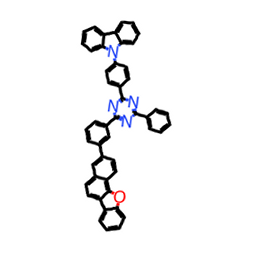 c1ccc(-c2nc(-c3ccc(-n4c5ccccc5c5ccccc54)cc3)nc(-c3cccc(-c4ccc5c(ccc6c7ccccc7oc56)c4)c3)n2)cc1